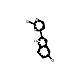 Clc1ccc2[nH]c(-c3ccnc(Cl)n3)cc2c1